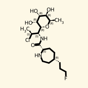 C[C@H](Cl)[C@@H](NC(=O)[C@@H]1CC[C@H](CCCF)CCN1)[C@H]1O[C@H](C)[C@H](O)[C@@H](O)[C@H]1O